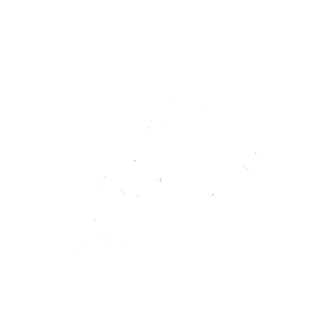 COc1cc(-c2cc(F)cc(C(C)C)c2CC(=O)NS(=O)(=O)N(C)C2CCN(C)C2)ccn1